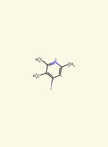 Cc1cc(I)c(C)c(C)n1